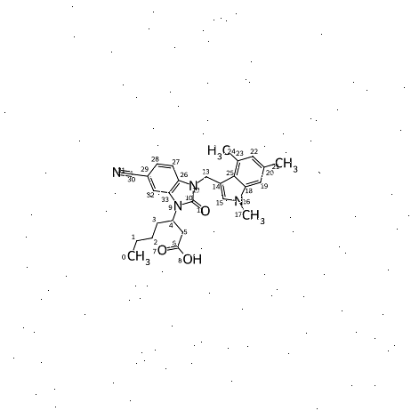 CCCCC(CC(=O)O)n1c(=O)n(Cc2cn(C)c3cc(C)cc(C)c23)c2ccc(C#N)cc21